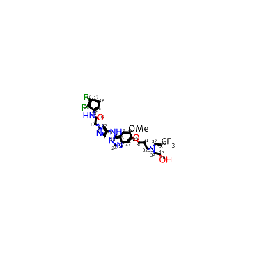 COc1cc2c(Nc3cnn(CC(=O)Nc4cccc(F)c4F)c3)ncnc2cc1OCCCN(CCO)CCC(F)(F)F